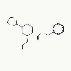 O=C(OCc1ccccc1)[C@H]1CCC(C2OCCO2)C[C@@H]1CCS(=O)(=O)O